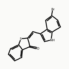 O=C1/C(=C\c2c[nH]c3ccc(Br)cc23)Sc2ccccc21